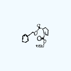 CC(C)(C)OC(=O)N1CCC[C@@H]1C(=O)OCc1ccccc1